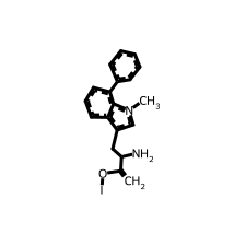 C=C(OI)C(N)Cc1cn(C)c2c(-c3ccccc3)cccc12